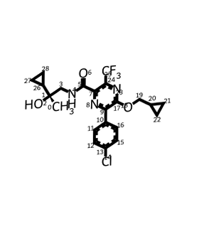 C[C@](O)(CNC(=O)c1nc(-c2ccc(Cl)cc2)c(OCC2CC2)nc1C(F)(F)F)C1CC1